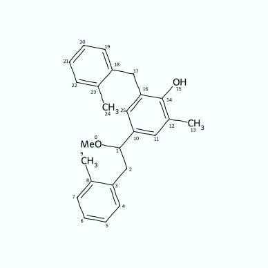 COC(Cc1ccccc1C)c1cc(C)c(O)c(Cc2ccccc2C)c1